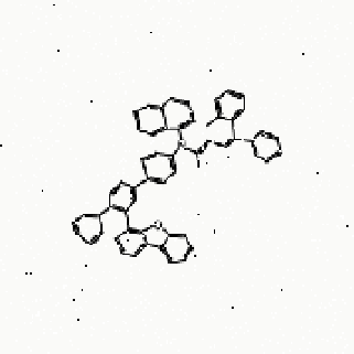 C/C(=C\C=C(\c1ccccc1)c1ccccc1C)N(c1ccc(-c2ccc(-c3ccccc3)c(-c3cccc4c3oc3ccccc34)c2)cc1)c1cccc2ccccc12